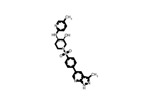 Cc1ccc(N[C@@H]2CCN(S(=O)(=O)c3ccc(-c4cnc5[nH]nc(C)c5c4)cc3)C[C@@H]2O)nc1